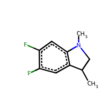 CC1CN(C)c2cc(F)c(F)cc21